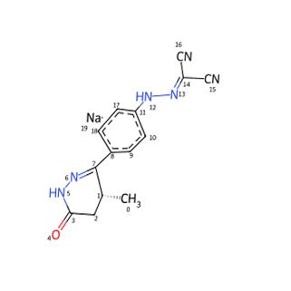 C[C@@H]1CC(=O)NN=C1c1ccc(NN=C(C#N)C#N)cc1.[Na]